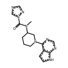 CN(C(=O)n1cncn1)C1CCCN(c2ncnc3[nH]ccc23)C1